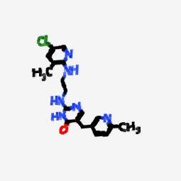 Cc1ccc(Cc2cnc(NCCNc3ncc(Cl)cc3C)[nH]c2=O)cn1